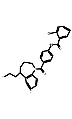 O=C(Nc1ccc(C(=O)N2CCCC(CCCl)c3cc(Cl)ccc32)cc1)c1ccccc1Cl